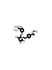 CC(C)(O)c1cccc(OCc2c(Cl)cc(Cl)c(=O)n2CCc2ccc(C(=O)ON)cc2)c1